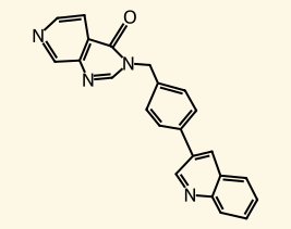 O=c1c2ccncc2ncn1Cc1ccc(-c2cnc3ccccc3c2)cc1